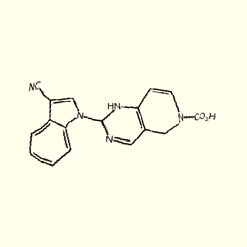 N#Cc1cn(C2N=CC3=C(C=CN(C(=O)O)C3)N2)c2ccccc12